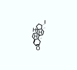 CC[C@H]1CC[C@H]2[C@@H]3CCC4=CC5=C(C[C@]4(C)[C@H]3CC[C@]12C)O5